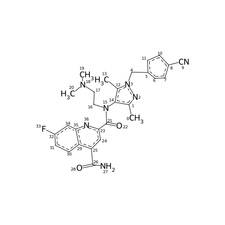 Cc1nn(Cc2ccc(C#N)cc2)c(C)c1N(CCN(C)C)C(=O)c1cc(C(N)=O)c2ccc(F)cc2n1